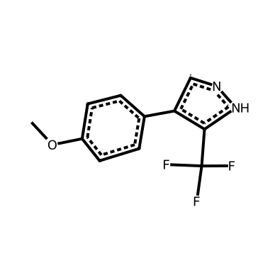 COc1ccc(-c2[c]n[nH]c2C(F)(F)F)cc1